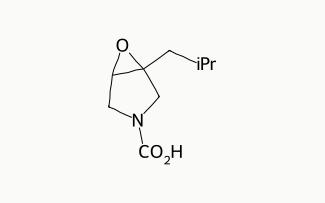 CC(C)CC12CN(C(=O)O)CC1O2